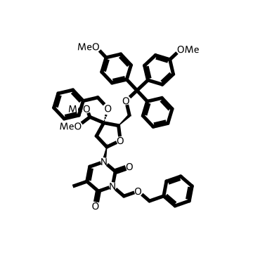 COc1ccc(C(OC[C@H]2O[C@@H](n3cc(C)c(=O)n(COCc4ccccc4)c3=O)C[C@@]2(OCc2ccccc2)C(OC)OC)(c2ccccc2)c2ccc(OC)cc2)cc1